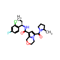 CC[C@@H](NC(=O)c1cc(C(=O)N2CCCC2C)n2c1COCC2)c1ccc(F)cc1Cl